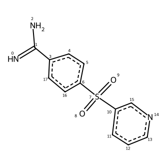 N=C(N)c1ccc(S(=O)(=O)c2cccnc2)cc1